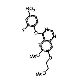 COCCOc1cc2ncnc(Oc3ccc([N+](=O)[O-])cc3F)c2nc1OC